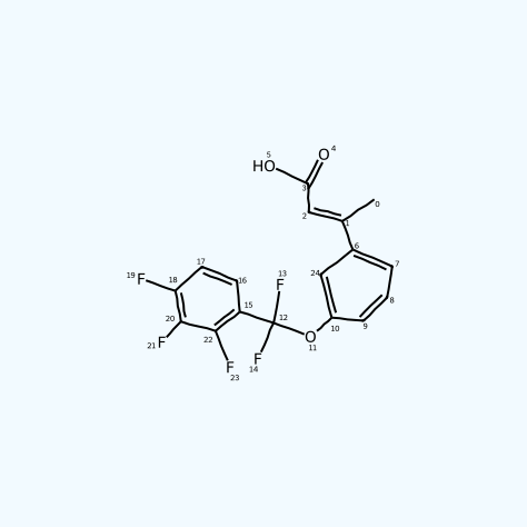 CC(=CC(=O)O)c1cccc(OC(F)(F)c2ccc(F)c(F)c2F)c1